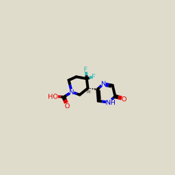 O=C(O)N1CCC(F)(F)[C@H](c2c[nH]c(=O)cn2)C1